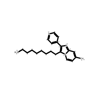 Cc1ccn2c(CCCCCCCCN)c(-c3ccncc3)nc2c1